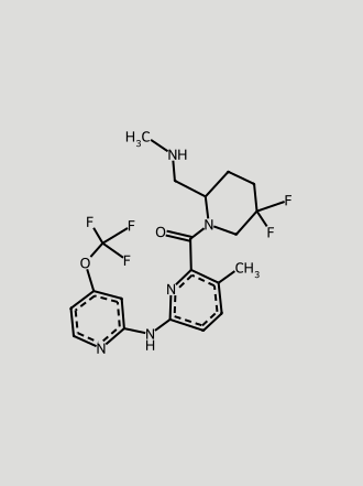 CNCC1CCC(F)(F)CN1C(=O)c1nc(Nc2cc(OC(F)(F)F)ccn2)ccc1C